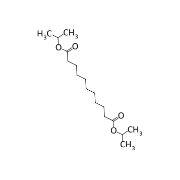 CC(C)OC(=O)CCCCCCCCCC(=O)OC(C)C